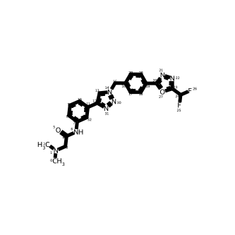 CN(C)CC(=O)Nc1cccc(-c2cn(Cc3ccc(-c4nnc(C(F)F)o4)cc3)nn2)c1